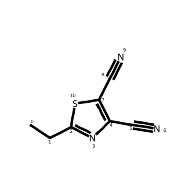 CCc1nc(C#N)c(C#N)s1